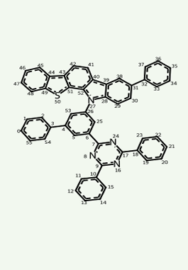 c1ccc(-c2cc(-c3nc(-c4ccccc4)nc(-c4ccccc4)n3)cc(-n3c4ccc(-c5ccccc5)cc4c4ccc5c6ccccc6sc5c43)c2)cc1